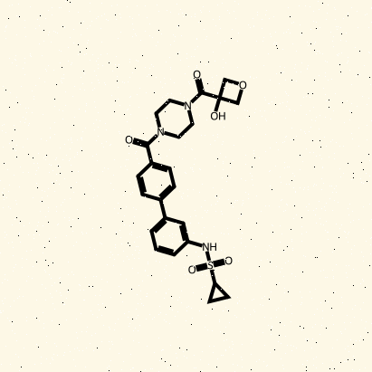 O=C(c1ccc(-c2cccc(NS(=O)(=O)C3CC3)c2)cc1)N1CCN(C(=O)C2(O)COC2)CC1